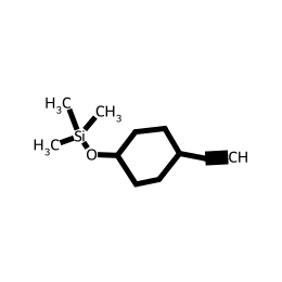 C#CC1CCC(O[Si](C)(C)C)CC1